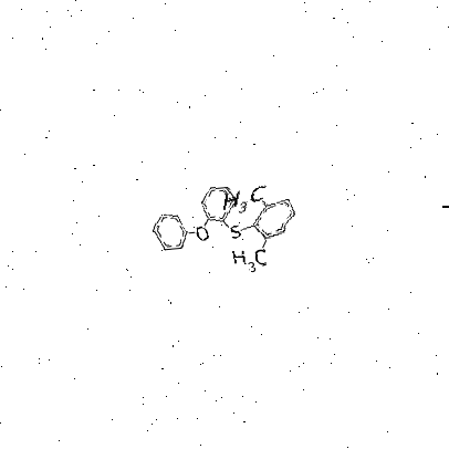 Cc1cccc(C)c1Sc1ccccc1Oc1ccccc1